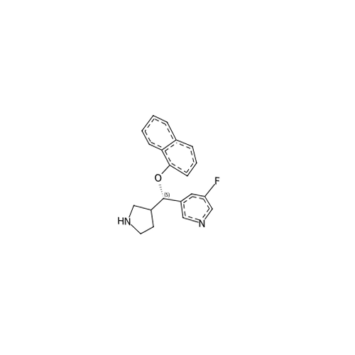 Fc1cncc([C@@H](Oc2cccc3ccccc23)C2CCNC2)c1